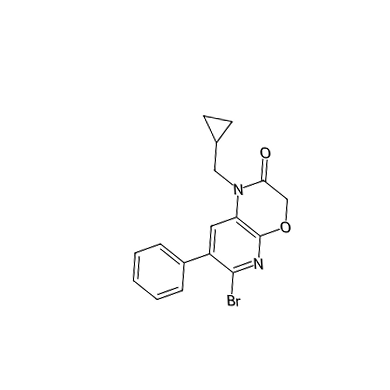 O=C1COc2nc(Br)c(-c3ccccc3)cc2N1CC1CC1